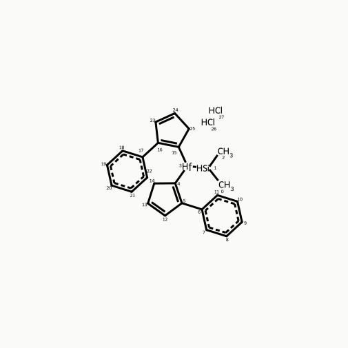 C[SiH](C)[Hf]([C]1=C(c2ccccc2)C=CC1)[C]1=C(c2ccccc2)C=CC1.Cl.Cl